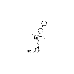 CC(C)(NCCCn1cnc(CO)c1)c1ccc(-c2ccccc2)cc1